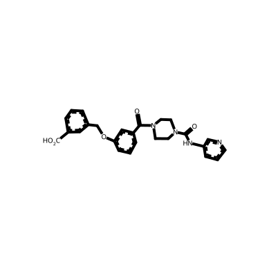 O=C(O)c1cccc(COc2cccc(C(=O)N3CCN(C(=O)Nc4cccnc4)CC3)c2)c1